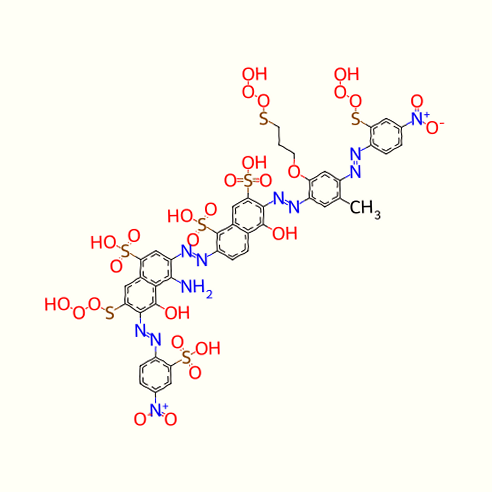 Cc1cc(N=Nc2c(S(=O)(=O)O)cc3c(S(=O)(=O)O)c(N=Nc4cc(S(=O)(=O)O)c5cc(SOOO)c(N=Nc6ccc([N+](=O)[O-])cc6S(=O)(=O)O)c(O)c5c4N)ccc3c2O)c(OCCCSOOO)cc1N=Nc1ccc([N+](=O)[O-])cc1SOOO